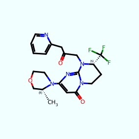 C[C@@H]1COCCN1c1cc(=O)n2c(n1)N(CC(=O)Cc1ccccn1)[C@H](C(F)(F)F)CC2